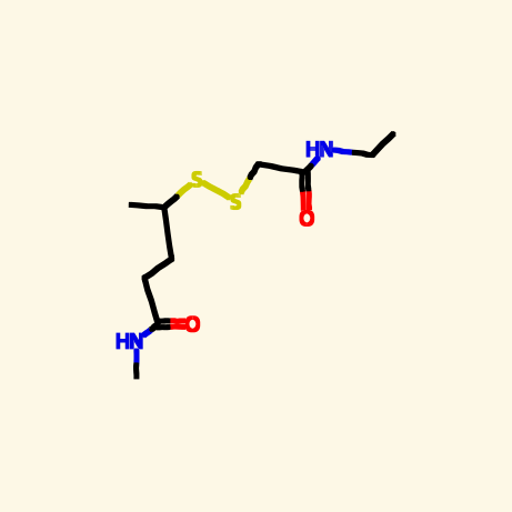 CCNC(=O)CSSC(C)CCC(=O)NC